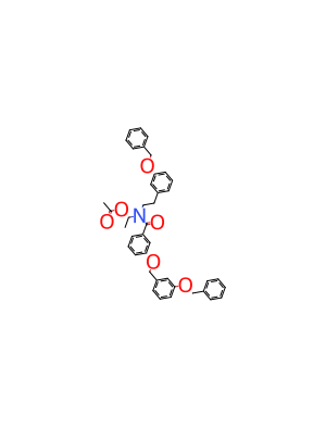 CC(=O)OC(C)N(CCc1cccc(OCc2ccccc2)c1)C(=O)c1cccc(OCc2cccc(OCc3ccccc3)c2)c1